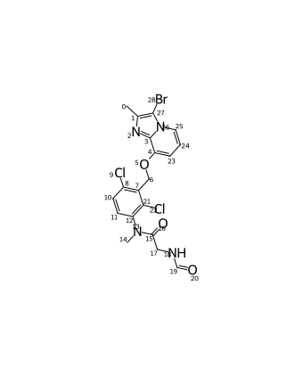 Cc1nc2c(OCc3c(Cl)ccc(N(C)C(=O)CNC=O)c3Cl)cccn2c1Br